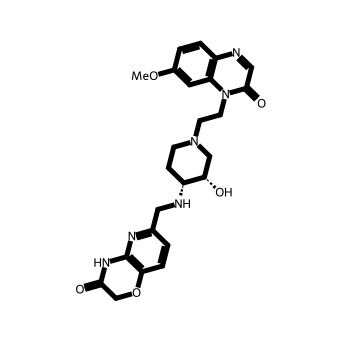 COc1ccc2ncc(=O)n(CCN3CC[C@@H](NCc4ccc5c(n4)NC(=O)CO5)[C@@H](O)C3)c2c1